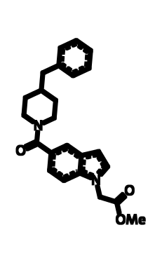 COC(=O)Cn1ccc2cc(C(=O)N3CCC(Cc4ccccc4)CC3)ccc21